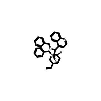 C=CC1C[N+]2(Cc3ccccc3)CCC1C[C@H]2C(OCc1ccccc1)c1ccnc2ccccc12